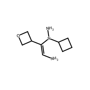 N/C=C(/C1COC1)N(N)C1CCC1